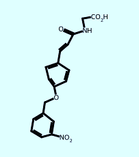 O=C(O)CNC(=O)C=Cc1ccc(OCc2cccc([N+](=O)[O-])c2)cc1